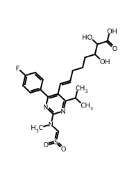 CC(C)c1nc(N(C)C=S(=O)=O)nc(-c2ccc(F)cc2)c1C=CCCCC(O)C(O)C(=O)O